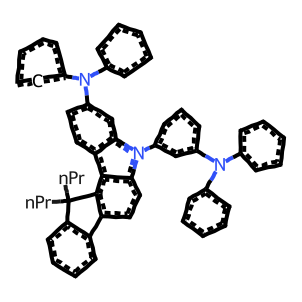 CCCC1(CCC)c2ccccc2-c2ccc3c(c21)c1ccc(N(c2ccccc2)c2ccccc2)cc1n3-c1cccc(N(c2ccccc2)c2ccccc2)c1